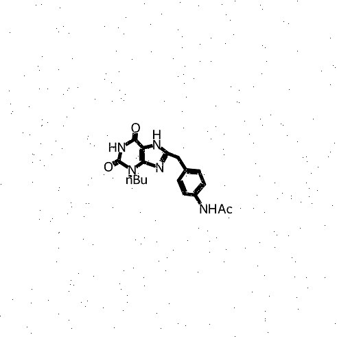 CCCCn1c(=O)[nH]c(=O)c2[nH]c(Cc3ccc(NC(C)=O)cc3)nc21